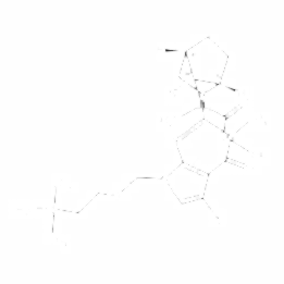 CN(C(=O)OC(C)(C)C)[C@H]1[C@H]2CC[C@@H]1N(c1nc3c(c(I)cn3COCC[Si](C)(C)C)c(=O)n1C)C2